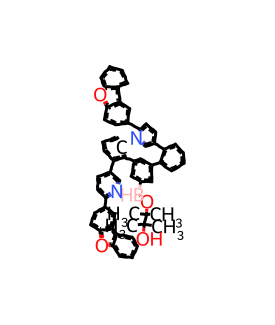 CC(C)(O)C(C)(C)OBc1cc(-c2ccccc2-c2ccc(-c3ccc4oc5ccccc5c4c3)nc2)cc(-c2ccccc2-c2ccc(-c3ccc4oc5ccccc5c4c3)nc2)c1